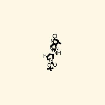 Cc1cc(Cl)nc2cnc(N[C@H]3C[C@H](F)CN(C(=O)OC(C)(C)C)C3)nc12